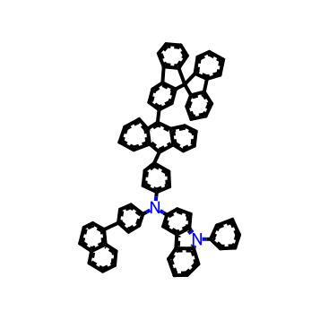 c1ccc(-n2c3ccccc3c3cc(N(c4ccc(-c5cccc6ccccc56)cc4)c4ccc(-c5c6ccccc6c(-c6ccc7c(c6)C6(c8ccccc8-c8ccccc86)c6ccccc6-7)c6ccccc56)cc4)ccc32)cc1